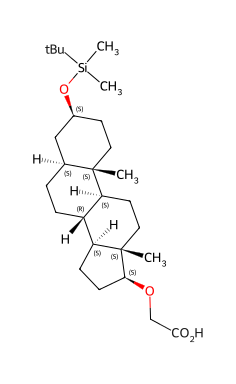 CC(C)(C)[Si](C)(C)O[C@H]1CC[C@@]2(C)[C@@H](CC[C@@H]3[C@@H]2CC[C@]2(C)[C@@H](OCC(=O)O)CC[C@@H]32)C1